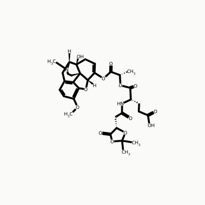 COc1ccc2c3c1O[C@H]1C(OC(=O)[C@H](C)OC(=O)[C@H](CCC(=O)O)NC(=O)C[C@@H]4OC(C)(C)OC4=O)=CC[C@@]4(O)[C@@H](C2)N(C)CC[C@]314